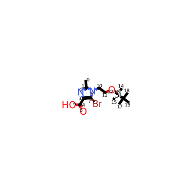 Cc1nc(C(=O)O)c(Br)n1CCO[Si](C)(C)C(C)(C)C